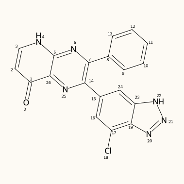 O=c1cc[nH]c2nc(-c3ccccc3)c(-c3cc(Cl)c4nn[nH]c4c3)nc12